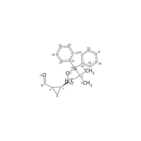 CC(C)(C)[Si](OC[C@H]1CC1C=O)(c1ccccc1)c1ccccc1